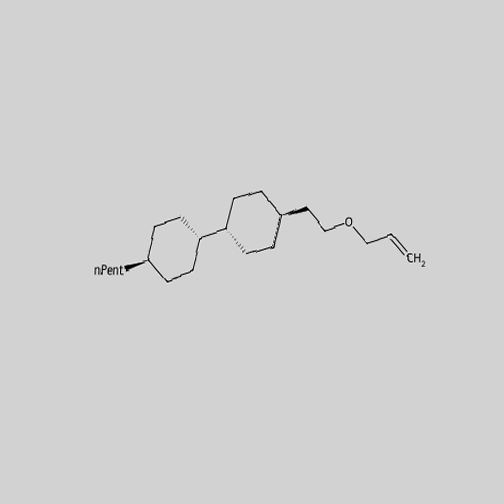 C=CCOCC[C@H]1CC[C@H]([C@H]2CC[C@H](CCCCC)CC2)CC1